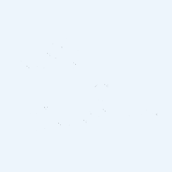 COC(=O)C1OC1CNC(=O)CNC(=O)C(CS)NC(=O)C(CCc1ccc(O)cc1)NC(=O)CCCNc1cccc2c1C(=O)N(C1CCC(=O)NC1=O)C2=O